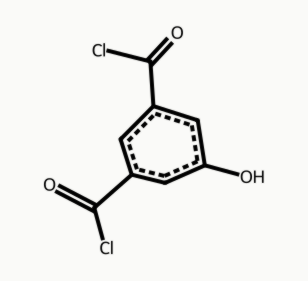 O=C(Cl)c1cc(O)cc(C(=O)Cl)c1